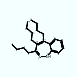 CCCCC1=NNc2ccccc2C(CCCC)=C1CCCC